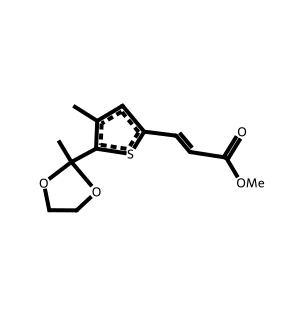 COC(=O)/C=C/c1cc(C)c(C2(C)OCCO2)s1